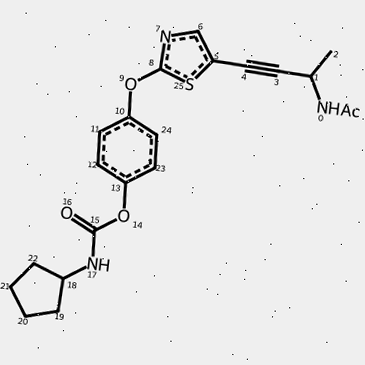 CC(=O)NC(C)C#Cc1cnc(Oc2ccc(OC(=O)NC3CCCC3)cc2)s1